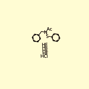 CC(=O)N(Cc1ccccc1)Sc1ccccc1.Cl.F.F.F.F